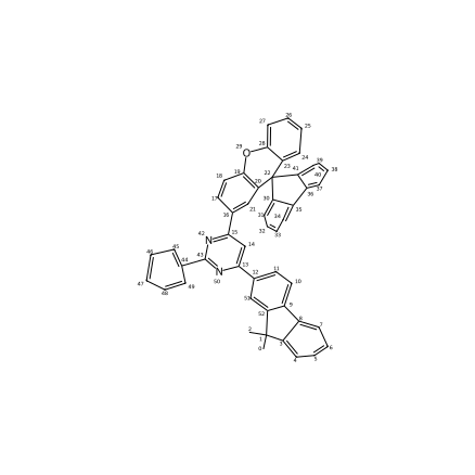 CC1(C)c2ccccc2-c2ccc(-c3cc(-c4ccc5c(c4)C4(c6ccccc6O5)c5ccccc5-c5ccccc54)nc(-c4ccccc4)n3)cc21